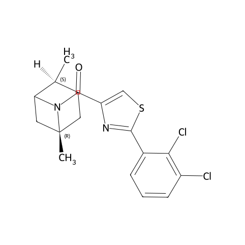 C[C@H]1CC[C@]2(C)CC1N2C(=O)c1csc(-c2cccc(Cl)c2Cl)n1